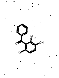 Nc1c(O)ccc(Cl)c1C(=O)c1ccccc1